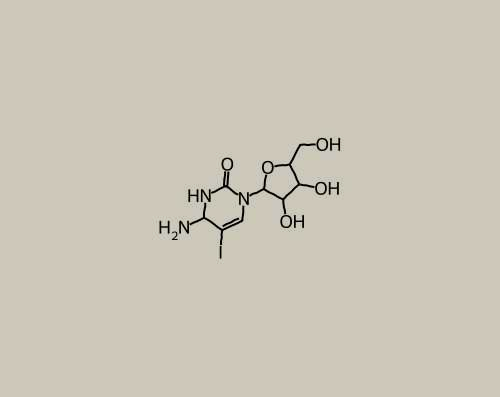 NC1NC(=O)N(C2OC(CO)C(O)C2O)C=C1I